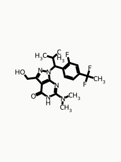 CC(C)C(c1ccc(C(C)(F)F)cc1F)n1nc(CO)c2c(=O)[nH]c(N(C)C)nc21